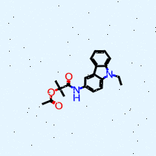 CCn1c2ccccc2c2cc(NC(=O)C(C)(C)OC(C)=O)ccc21